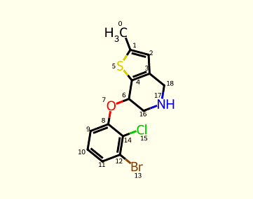 Cc1cc2c(s1)C(Oc1cccc(Br)c1Cl)CNC2